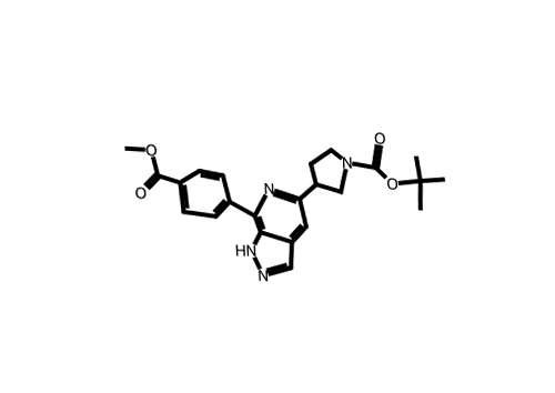 COC(=O)c1ccc(-c2nc(C3CCN(C(=O)OC(C)(C)C)C3)cc3cn[nH]c23)cc1